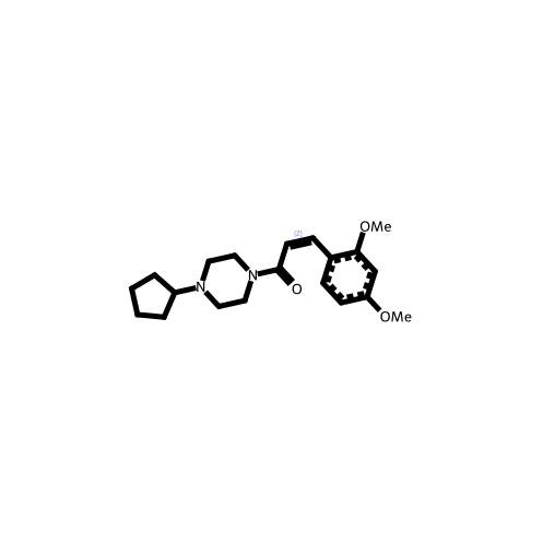 COc1ccc(/C=C\C(=O)N2CCN(C3CCCC3)CC2)c(OC)c1